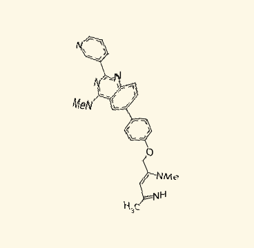 CN/C(=C\C(C)=N)COc1ccc(-c2ccc3nc(-c4cccnc4)nc(NC)c3c2)cc1